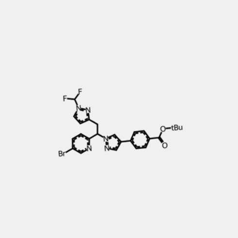 CC(C)(C)OC(=O)c1ccc(-c2cnn(C(Cc3ccn(C(F)F)n3)c3ccc(Br)cn3)c2)cc1